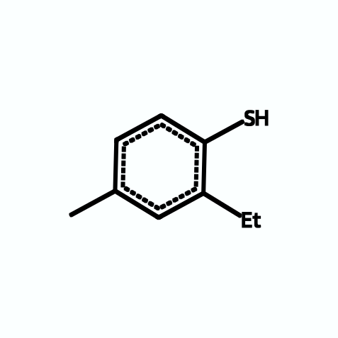 CCc1cc(C)ccc1S